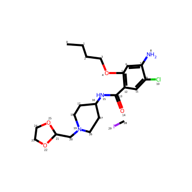 CCCCOc1cc(N)c(Cl)cc1C(=O)NC1CCN(CC2OCCO2)CC1.CI